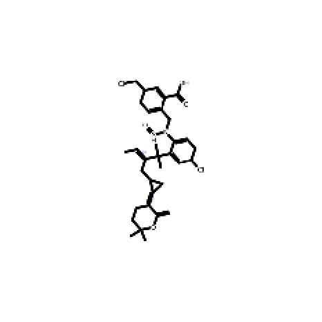 C=C1OC(C)(C)CC/C1=C1/CC1C/C(=C\C)C(C)(C)C1=CC(Cl)CC=C1N(CC1=CCC(CCl)C=C1C(=O)O)[SH]=O